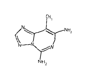 Cc1c(N)nc(N)n2ncnc12